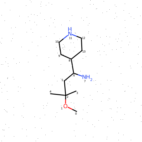 COC(C)(C)CC(N)C1CCNCC1